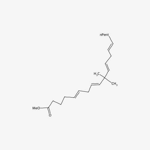 CCCCC/C=C/C/C=C/C(C)(C)/C=C/C/C=C/CCCC(=O)OC